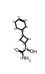 NC(=O)N(O)C1CC(C2CC=CCC2)C1